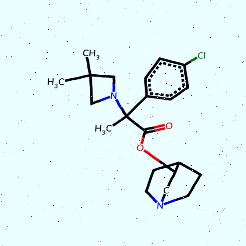 CC1(C)CN(C(C)(C(=O)OC2CN3CCC2CC3)c2ccc(Cl)cc2)C1